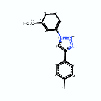 Cc1ccc(-c2cn(C3=CCCC(C(=O)O)=C3)nn2)cc1